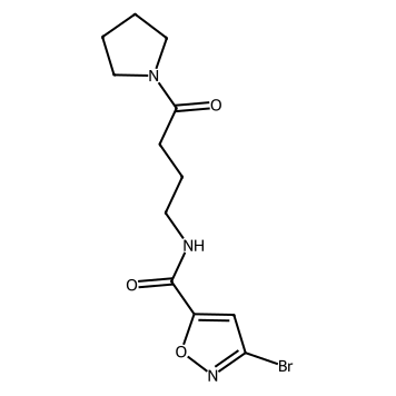 O=C(NCCCC(=O)N1CCCC1)c1cc(Br)no1